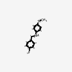 CSc1ccc(NCc2ccc(F)cc2)cc1